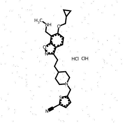 CNCc1c(OCC2CC2)ccc2c(CCC3CCN(Cc4ccc(C#N)s4)CC3)noc12.Cl.Cl